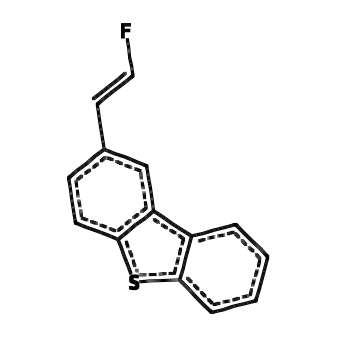 FC=Cc1ccc2sc3ccccc3c2c1